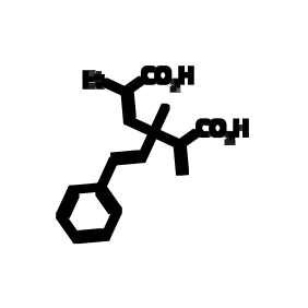 C=C(C(=O)O)C(C)(C=Cc1ccccc1)C=C(CC)C(=O)O